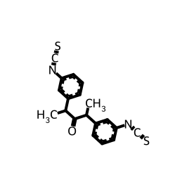 CC(C(=O)C(C)c1cccc(N=C=S)c1)c1cccc(N=C=S)c1